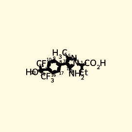 CCC(C(=O)O)n1nc(C)c(-c2ccc(C(O)(C(F)(F)F)C(F)(F)F)cc2)c1N